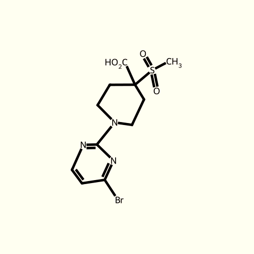 CS(=O)(=O)C1(C(=O)O)CCN(c2nccc(Br)n2)CC1